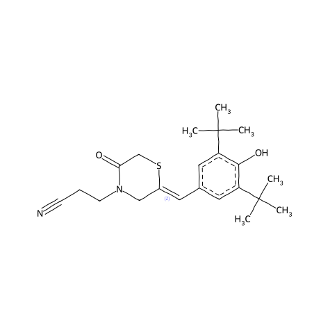 CC(C)(C)c1cc(/C=C2/CN(CCC#N)C(=O)CS2)cc(C(C)(C)C)c1O